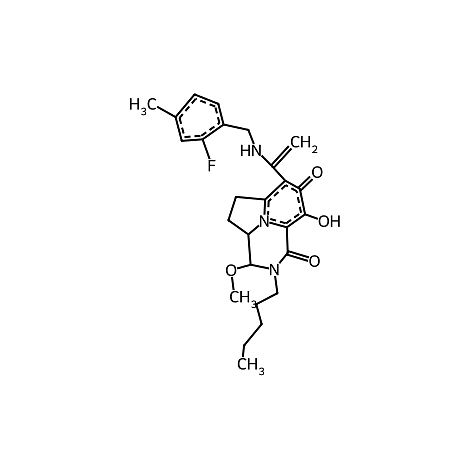 C=C(NCc1ccc(C)cc1F)c1c2n3c(c(O)c1=O)C(=O)N(CCCCC)C(OC)C3CC2